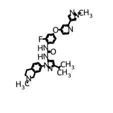 CC(C)c1cc(NC(=O)Nc2ccc(Oc3ccnc(-c4cnn(C)c4)c3)cc2F)n(-c2ccc3c(c2)CN(C)CC3)n1